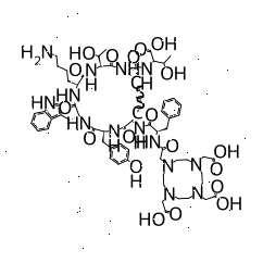 CC(O)[C@H](NC(=O)[C@@H]1CSSC[C@H](NC(=O)[C@@H](Cc2ccccc2)NC(=O)CN2CCN(CC(=O)O)CCN(CC(=O)O)CCN(CC(=O)O)CC2)C(=O)N[C@@H](Cc2ccc(O)cc2)C(=O)N[C@H](Cc2c[nH]c3ccccc23)C(=O)N[C@@H](CCCCN)C(=O)N[C@@H](C(C)O)C(=O)N1)C(=O)O